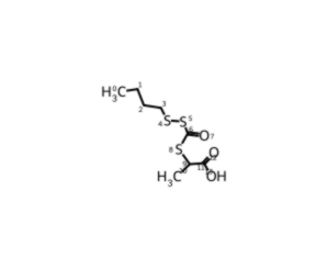 CCCCSSC(=O)SC(C)C(=O)O